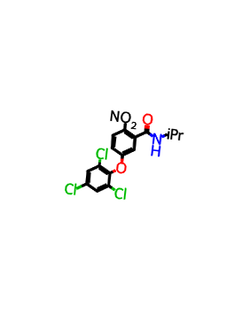 CC(C)NC(=O)c1cc(Oc2c(Cl)cc(Cl)cc2Cl)ccc1[N+](=O)[O-]